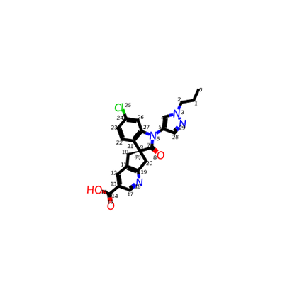 CCCn1cc(N2C(=O)[C@@]3(Cc4cc(C(=O)O)cnc4C3)c3ccc(Cl)cc32)cn1